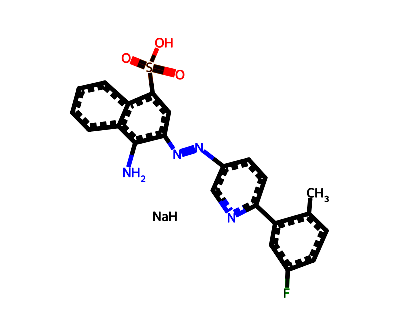 Cc1ccc(F)cc1-c1ccc(/N=N/c2cc(S(=O)(=O)O)c3ccccc3c2N)cn1.[NaH]